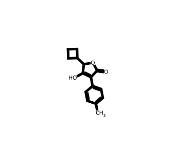 Cc1ccc(C2=C(O)C(C3CCC3)OC2=O)cc1